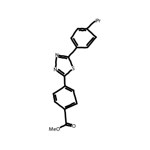 COC(=O)c1ccc(-c2nnc(-c3ccc(C(C)C)cc3)s2)cc1